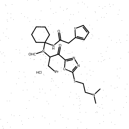 CC(C)CC(C(=O)c1nnc(SCCN(C)C)o1)N(C=O)C1(NC(=O)Cc2cccs2)CCCCC1.Cl